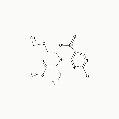 CCOCCN(c1nc(Cl)ncc1[N+](=O)[O-])[C@H](CC)C(=O)OC